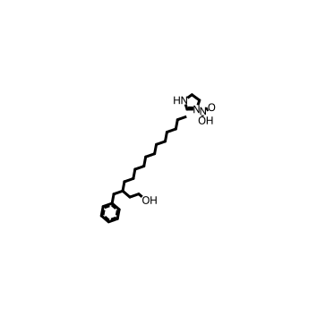 C1=NCCN1.CCCCCCCCCCCCC(CCO)Cc1ccccc1.O=NO